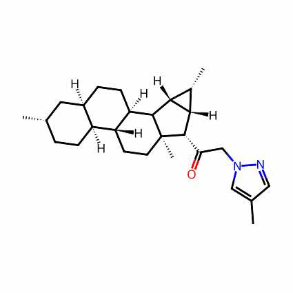 Cc1cnn(CC(=O)[C@H]2[C@H]3[C@@H](C)[C@H]3C3[C@@H]4CC[C@@H]5C[C@@H](C)CC[C@@H]5[C@H]4CC[C@@]32C)c1